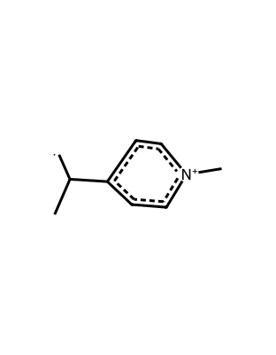 [CH2]C(C)c1cc[n+](C)cc1